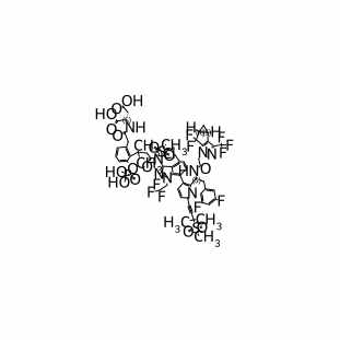 CC(C)(CC(=O)N(c1nn(CC(F)(F)F)c2c(-c3ccc(C#CC(C)(C)S(C)(=O)=O)nc3[C@H](Cc3cc(F)cc(F)c3)NC(=O)Cn3nc(C(F)(F)F)c4c3C(F)(F)[C@@H]3C[C@H]43)ccc(Cl)c12)S(C)(=O)=O)c1c(CC(=O)N[C@@H](CC(=O)O)C(=O)O)cccc1OP(=O)(O)O